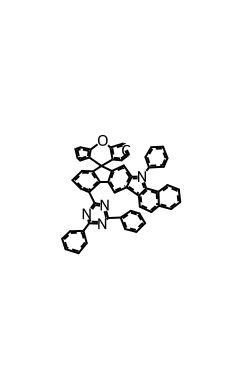 c1ccc(-c2nc(-c3ccccc3)nc(-c3cccc4c3-c3cc5c6ccc7ccccc7c6n(-c6ccccc6)c5cc3C43c4ccccc4Oc4ccccc43)n2)cc1